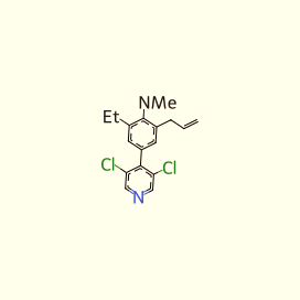 C=CCc1cc(-c2c(Cl)cncc2Cl)cc(CC)c1NC